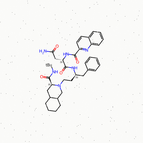 CC(C)(C)NC(=O)[C@@H]1CC2CCCCC2CN1CC[C@H](Cc1ccccc1)NC(=O)[C@H](CC(N)=O)NC(=O)c1ccc2ccccc2n1